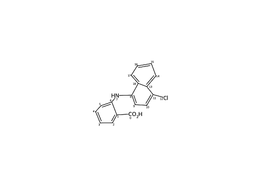 O=C(O)c1ccccc1Nc1ccc(Cl)c2ccccc12